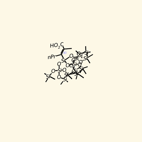 CCC/C(=C(/C)C(=O)O)[Si](O[Si](O[Si](C)(C)C)(O[Si](C)(C)C)O[Si](C)(C)C)(O[Si](O[Si](C)(C)C)(O[Si](C)(C)C)O[Si](C)(C)C)O[Si](O[Si](C)(C)C)(O[Si](C)(C)C)O[Si](C)(C)C